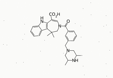 CC1CN(Cc2cccc(C(=O)N3C=C(C(=O)O)c4[nH]c5ccccc5c4C(C)(C)C3)c2)CC(C)N1